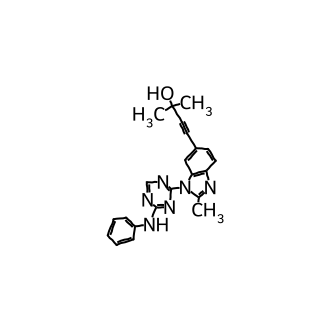 Cc1nc2ccc(C#CC(C)(C)O)cc2n1-c1ncnc(Nc2ccccc2)n1